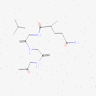 C=C(CNC(=C)[C@H](CC(C)C)NC(=O)C(C)CCC(N)=O)NCC(C)=O